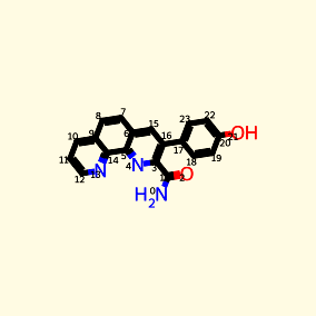 NC(=O)c1nc2c(ccc3cccnc32)cc1-c1ccc(O)cc1